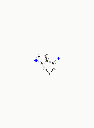 [N]c1cccc2[nH]ccc12